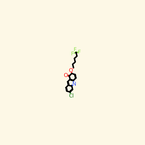 O=C1c2cc3ccc(Cl)cc3nc2C=CC1OCCCCCC(F)(F)F